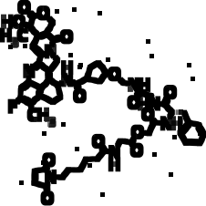 Cc1c(F)cc2nc3c(c4c2c1CC[C@@H]4NC(=O)C1CCC(OCNC(=O)CNC(=O)[C@H](Cc2ccccc2)NC(=O)COC(=O)CNC(=O)CCCCCN2C(=O)C=CC2=O)C1)Cn1c-3cc2c(c1=O)COC(=O)[C@@]2(C)O